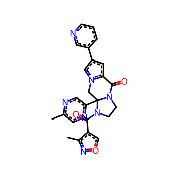 Cc1cnc(C23Cn4cc(-c5cccnc5)cc4C(=O)N2CCN3C(=O)c2conc2C)cn1